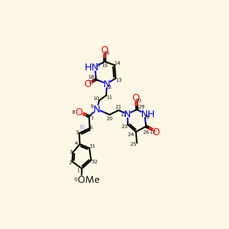 COc1ccc(/C=C/C(=O)N(CCn2ccc(=O)[nH]c2=O)CCn2cc(C)c(=O)[nH]c2=O)cc1